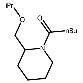 CCCCC(=O)N1CCCCC1COC(C)C